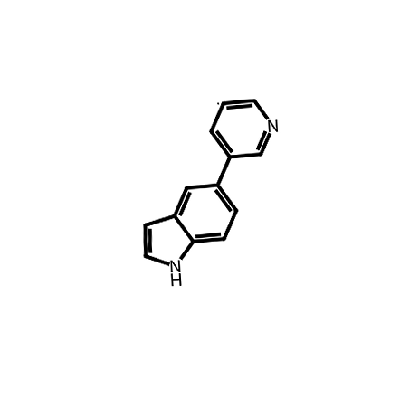 [c]1cncc(-c2ccc3[nH]ccc3c2)c1